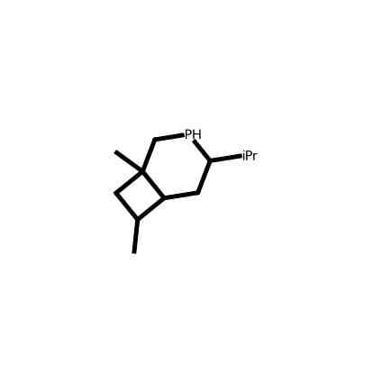 CC(C)C1CC2C(C)CC2(C)CP1